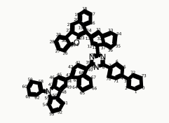 c1ccc(-c2ccc(-c3nc(-c4cc(-c5c6ccccc6cc6c5oc5ccccc56)cc5ccccc45)nc(-c4ccc(-c5ccc6c(c5)c5ccccc5n6-c5ccccc5)c5ccccc45)n3)cc2)cc1